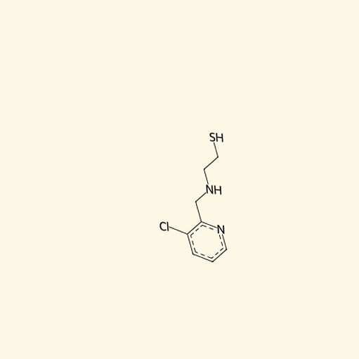 SCCNCc1ncccc1Cl